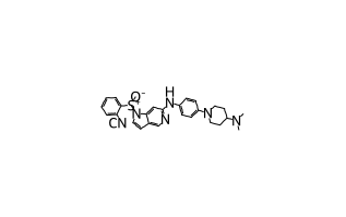 CN(C)C1CCN(c2ccc(Nc3cc4c(ccn4[S+]([O-])c4ccccc4C#N)cn3)cc2)CC1